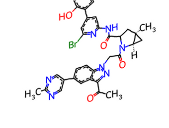 CC(=O)c1nn(CC(=O)N2C(C(=O)Nc3cc(-c4ccccc4O)cc(Br)n3)C[C@@]3(C)C[C@@H]23)c2ccc(-c3cnc(C)nc3)cc12